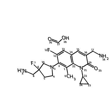 Cc1c(N2CCC(F)(CN)C2)c(F)cc2cc(CN)c(=O)n(C3CC3)c12.O=CO